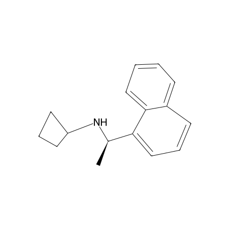 C[C@@H](NC1CCC1)c1cccc2ccccc12